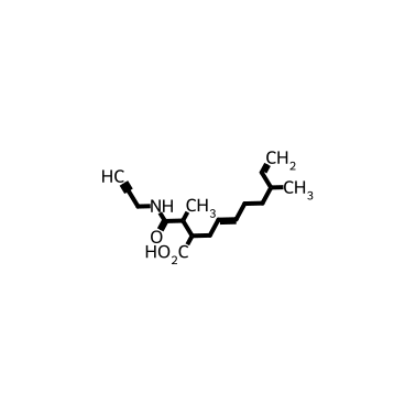 C#CCNC(=O)C(C)C(CC=CCCC(C)C=C)C(=O)O